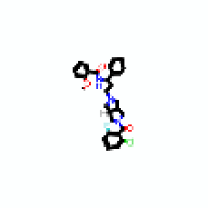 COc1ccccc1C(=O)NC(CCN1CC2CN(C(=O)c3c(F)cccc3Cl)C[C@@H]2C1)c1ccccc1